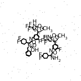 COC[C@@H](c1cc(F)c2oc([C@@H](N)C3CCC(F)(F)CC3)nc2c1)N1C[C@@H](C(F)(F)F)NC1=O.COC[C@@H](c1cc(F)c2oc([C@H](C3CCC(F)(F)CC3)N(Cc3ccccc3)C(=O)O)nc2c1)N1C[C@@H](C(F)(F)F)NC1=O